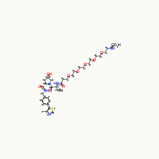 Cc1ncsc1-c1ccc(CNC(=O)[C@@H]2C[C@@H](O)CN2C(=O)C(NC(=O)CCOCCOCCOCCOCCOCCNC(=O)O)C(C)(C)C)cc1